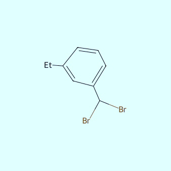 [CH2]Cc1cccc(C(Br)Br)c1